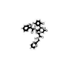 O=C1Cn2c(C(=O)NCc3ncccn3)nc(NC(=O)c3nsc4ccccc34)c2C(c2cc(F)ccc2Cl)N1